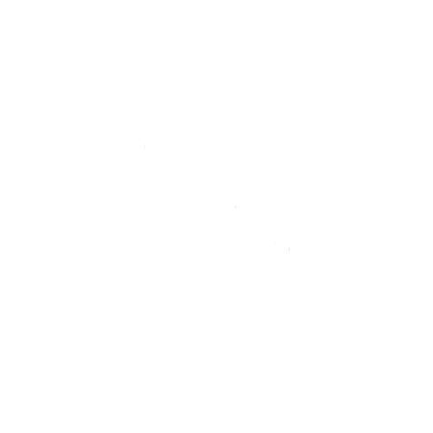 CCOC(=O)COCCCCOCCOS(=O)(=O)c1ccccc1C